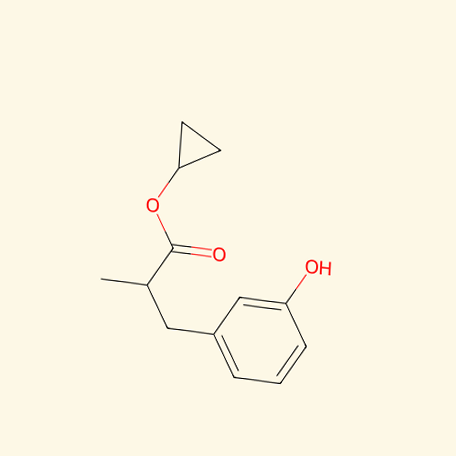 CC(Cc1cccc(O)c1)C(=O)OC1CC1